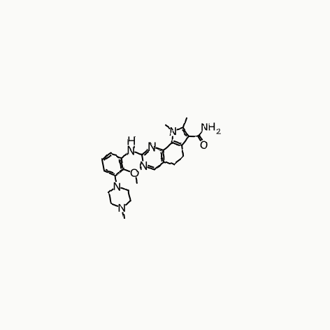 COc1c(Nc2ncc3c(n2)-c2c(c(C(N)=O)c(C)n2C)CC3)cccc1N1CCN(C)CC1